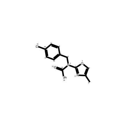 Cc1coc(N(Cc2ccc(Cl)cc2)C(=O)C(C)C)n1